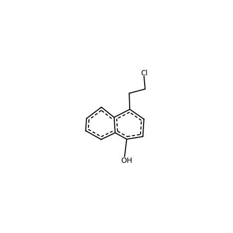 Oc1ccc(CCCl)c2ccccc12